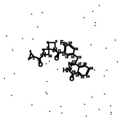 O=C(C1CC1)N1CC2(CCN2C(=O)c2cc(Cc3n[nH]c(=O)c4ccccc34)ccc2F)C1